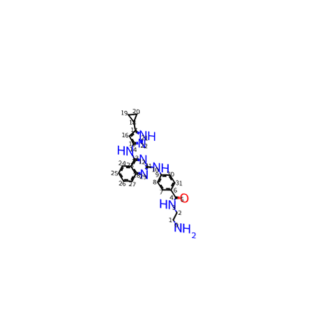 NCCNC(=O)c1ccc(Nc2nc(Nc3cc(C4CC4)[nH]n3)c3ccccc3n2)cc1